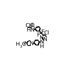 C=CC(=O)Nc1cccc(C(F)(F)c2nc(Nc3ccc(N4CCN(C)CC4)cc3)ncc2Cl)c1